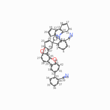 CC1(c2cccc(C#N)c2-n2c3c(c4c2CCC=C4)C=C=C3)C=Cc2oc3ccc4c5cc(-c6ccccc6C#N)ccc5oc4c3c2C1